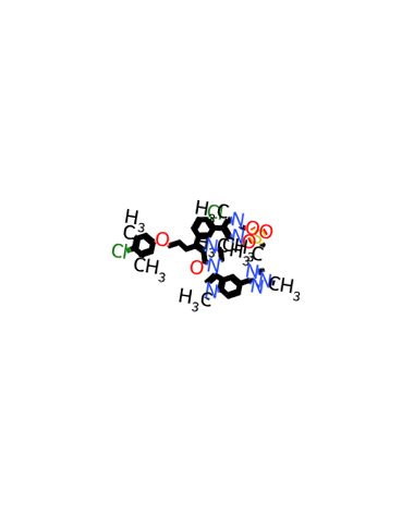 CCS(=O)(=O)Oc1nc(C)c(-c2c(Cl)ccc3c(CCCOc4cc(C)c(Cl)c(C)c4)c4n(c23)C(C)CN(c2cn(C)c3ccc(-c5ncn(C)n5)cc23)C4=O)c(C)n1